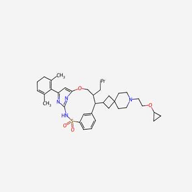 CC1=CCCC(C)=C1c1cc2nc(n1)NS(=O)(=O)c1cccc(c1)C(C1CC3(CCN(CCOC4CC4)CC3)C1)C(CC(C)C)CO2